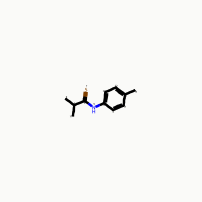 Cc1ccc(NC(=S)C(C)C)cc1